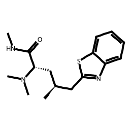 CNC(=O)[C@H](C[C@H](C)Cc1nc2ccccc2s1)N(C)C